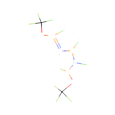 FN(P(F)/N=[PH](\F)OC(F)(F)F)P(F)OC(F)(F)F